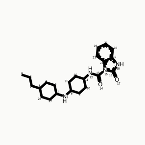 CCCC1CCC(NC2CCC(NC(=O)n3c(=O)[nH]c4ccccc43)CC2)CC1